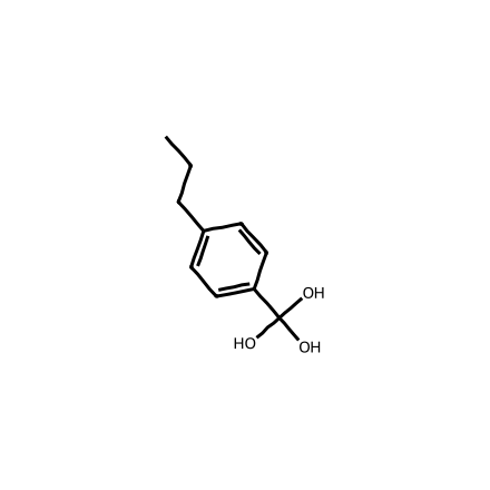 CCCc1ccc(C(O)(O)O)cc1